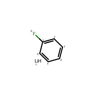 Fc1ccccc1.[LiH]